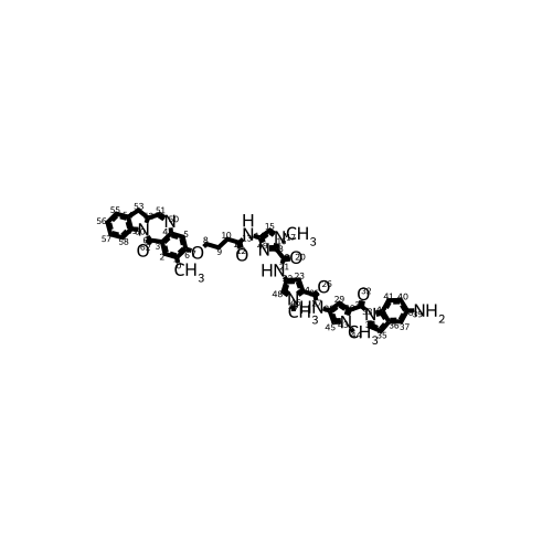 Cc1cc2c(cc1OCCCC(=O)Nc1cn(C)c(C(=O)Nc3cc(C(=O)Nc4cc(C(=O)n5ccc6cc(N)ccc65)n(C)c4)n(C)c3)n1)N=CC1Cc3ccccc3N1C2=O